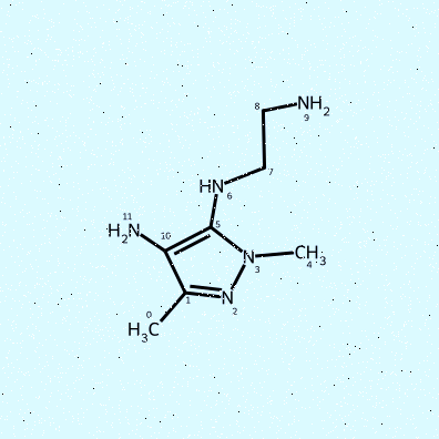 Cc1nn(C)c(NCCN)c1N